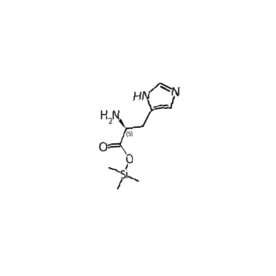 C[Si](C)(C)OC(=O)[C@@H](N)Cc1cnc[nH]1